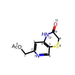 CC(=O)OCc1cc2c(cn1)SCC(=O)N2